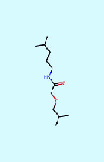 CC(C)CCCNC(=O)COCC(C)C